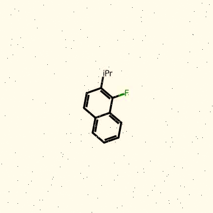 CC(C)c1ccc2ccccc2c1F